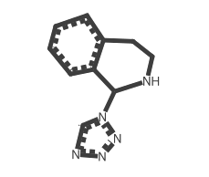 [c]1nnnn1C1NCCc2ccccc21